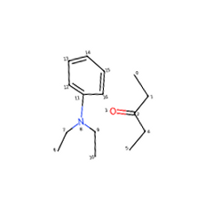 CCC(=O)CC.CCN(CC)c1ccccc1